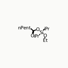 CCCCCC(=O)O[Si](OCC)(C(C)C)C(C)C